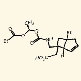 CCC(=O)O[C@@H](C)OC(=O)NC[C@@]1(CC(=O)O)C[C@]2(CC)CC=C[C@@H]21